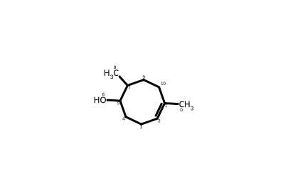 CC1=CCCC(O)C(C)CC1